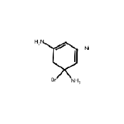 NC1=CC=CC(N)(Br)C1.[Ni]